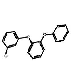 Oc1cccc(Oc2ccccc2Oc2ccccc2)c1